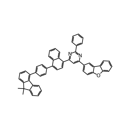 CC1(C)c2ccccc2-c2c(-c3ccc(-c4ccc(-c5cc(-c6ccc7oc8ccccc8c7c6)nc(-c6ccccc6)n5)c5ccccc45)cc3)cccc21